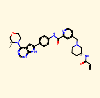 C=CC(=O)N[C@@H]1CCCN(Cc2ccnc(C(=O)Nc3ccc(-c4cc5c(N6CCOC[C@H]6C)ncnc5[nH]4)cc3)c2)C1